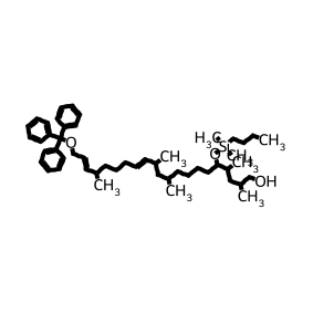 CCCC[Si](C)(C)OC(CCCCC(C)CC(C)C=CCCCC(C)C=CCOC(c1ccccc1)(c1ccccc1)c1ccccc1)C(C)CC(C)CO